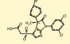 C[C@@]1(c2ccc(Br)cc2)C(=O)N(c2cc(Cl)cc(Cl)c2)c2ncc(S(=O)(=O)CC(=O)O)n21